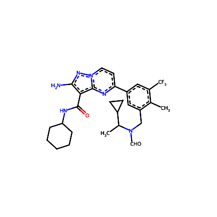 Cc1c(CN(C=O)C(C)C2CC2)cc(-c2ccn3nc(N)c(C(=O)NC4CCCCC4)c3n2)cc1C(F)(F)F